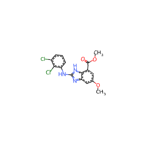 COC(=O)c1cc(OC)cc2nc(Nc3cccc(Cl)c3Cl)[nH]c12